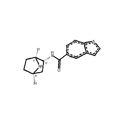 O=C(N[C@@H]1C[C@H]2CC[C@@H]1N2)c1ccc2sccc2c1